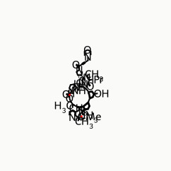 CO[C@@H](C)c1ncccc1-c1c2c3cc(ccc3n1C)-c1cc(O)cc(c1)C[C@H](NC(=O)C(C(C)C)N(C)C(=O)[C@H]1CCN(C(=O)C#CCN3CCOCC3)C1)C(=O)N1CCC[C@H](N1)C(=O)OCC(C)(C)C2